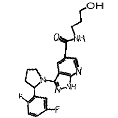 O=C(NCCCO)c1cnc2[nH]nc(N3CCC[C@@H]3c3cc(F)ccc3F)c2c1